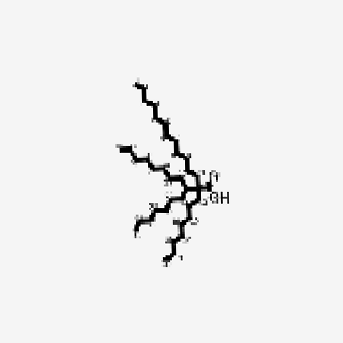 CCCCCCCCCCCCC(CCCCCCCC)(C(=O)O)C(CCCCCCC)CCCCCCCC